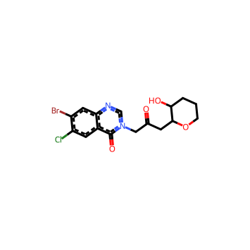 O=C(CC1OCCCC1O)Cn1cnc2cc(Br)c(Cl)cc2c1=O